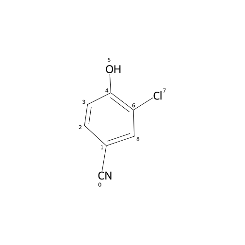 N#Cc1ccc(O)c(Cl)c1